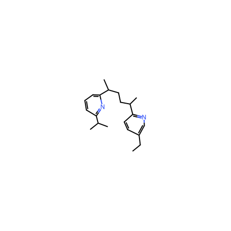 CCc1ccc(C(C)CCC(C)c2cccc(C(C)C)n2)nc1